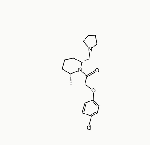 C[C@@H]1CCC[C@H](CN2CCCC2)N1C(=O)COc1ccc(Cl)cc1